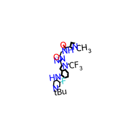 Cn1ccc(C(=O)NCc2nc(-c3cc4c(N[C@@H]5CCN(C(C)(C)C)C[C@@H]5F)cccc4n3CC(F)(F)F)no2)c1